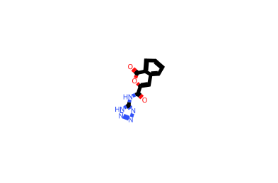 O=C(Nc1nnn[nH]1)c1cc2ccccc2c(=O)o1